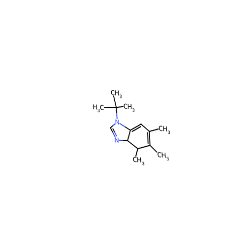 CC1=C(C)C(C)C2N=CN(C(C)(C)C)C2=C1